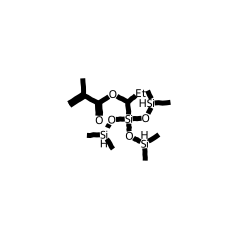 C=C(C)C(=O)OC(CC)[Si](O[SiH](C)C)(O[SiH](C)C)O[SiH](C)C